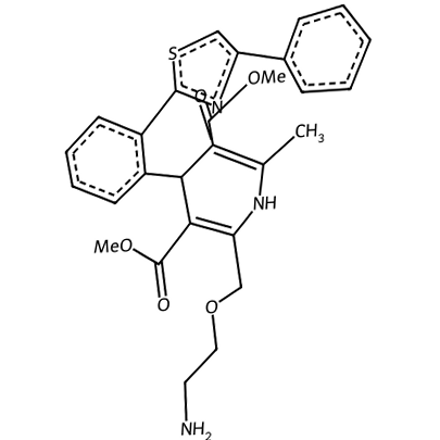 COC(=O)C1=C(C)NC(COCCN)=C(C(=O)OC)C1c1ccccc1-c1nc(-c2ccccc2)cs1